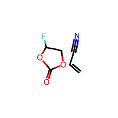 C=CC#N.O=C1OCC(F)O1